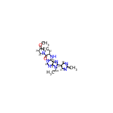 CC[C@@H](Nc1ncnc2c1nc(-c1cnc(C)nc1)n2CC)C(=O)N1CC[C@H](OC)C1